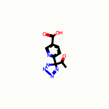 CC(=O)C1(c2ccc(C(=O)O)cn2)N=NN=N1